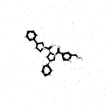 NCc1cc(C(=O)N2C[C@@H](c3ccccc3)C[C@H]2C(=O)N2CCC(c3ccccc3)C2)cs1